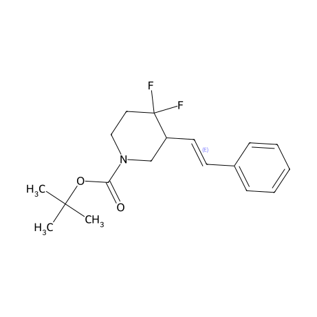 CC(C)(C)OC(=O)N1CCC(F)(F)C(/C=C/c2ccccc2)C1